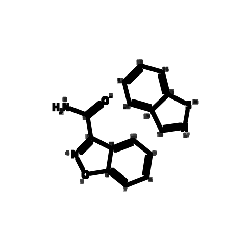 NC(=O)c1noc2ccccc12.c1ccc2sncc2c1